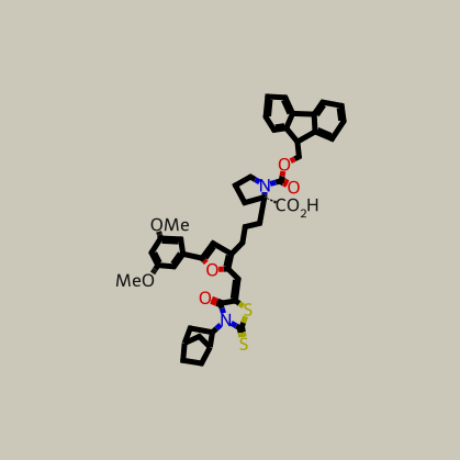 COc1cc(OC)cc(-c2cc(CCC[C@@]3(C(=O)O)CCCN3C(=O)OCC3c4ccccc4-c4ccccc43)c(C=C3SC(=S)N(C4CC5CCC4C5)C3=O)o2)c1